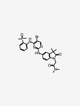 CN(C)C(=O)CN1C(=O)C(C)(C)c2cc(Nc3ncc(Br)c(Nc4ccccc4P(C)(C)=O)n3)ccc21